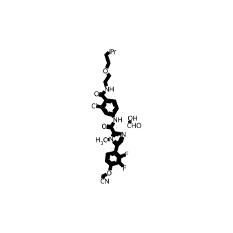 CC(C)CCOCCNC(=O)c1ccc(NC(=O)c2ncc(-c3ccc(OCC#N)c(F)c3F)n2C)cc1Cl.O=CO